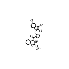 CC(=O)c1c(Cl)n(C[C@@H]2CCCN2C(=O)[C@@H](NC(=O)OC(C)(C)C)C2CCCCC2)c2ccc(Cl)cc12